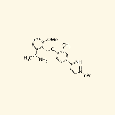 CCCN/C=C\C(=N)c1ccc(OCc2c(OC)cccc2N(C)N)c(C)c1